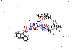 CC(C)(COC(C)(C)C)NC(=O)CNC(=O)C(CCC(=O)OC(C)(C)C)NC(=O)CNC(=O)OCC1c2ccccc2-c2ccccc21